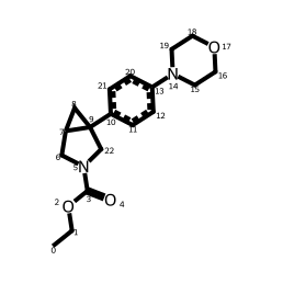 CCOC(=O)N1CC2CC2(c2ccc(N3CCOCC3)cc2)C1